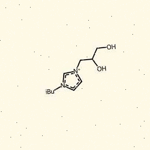 CCC(C)n1cc[n+](CC(O)CO)c1